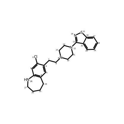 Clc1cc2c(cc1CCN1CCN(c3nsc4ccccc34)CC1)CCCCN2